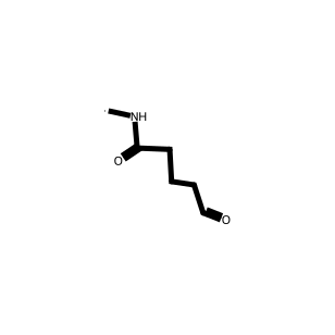 [CH2]NC(=O)CCCC=O